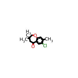 Cc1cc2c(cc1Cl)C(=O)CC(C)(C)CO2